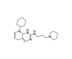 C1=CN(C2CCCCC2)C2NC(NCCCN3CCCCC3)=NC=C2C1